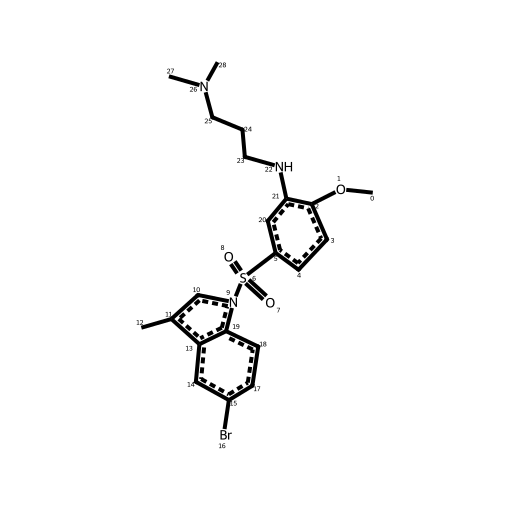 COc1ccc(S(=O)(=O)n2cc(C)c3cc(Br)ccc32)cc1NCCCN(C)C